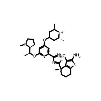 C[C@@H]1CC(Oc2cc(O[C@@H](C)[C@@H]3CCCN3C)nc(-c3noc([C@@]4(C)CCCc5sc(N)c(C#N)c54)n3)c2)C[C@@H](C)N1